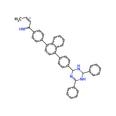 C/C=C\C(=N)c1ccc(-c2ccc(-c3ccc(C4N=C(c5ccccc5)NC(c5ccccc5)N4)cc3)c3ccccc23)cc1